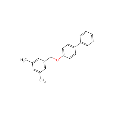 Cc1cc(C)cc(COc2ccc(-c3ccccc3)cc2)c1